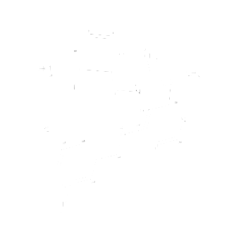 Cc1c(C)n(Cc2ccccc2F)c2c(OCc3cc(F)cc(F)c3)ccnc12.Cl